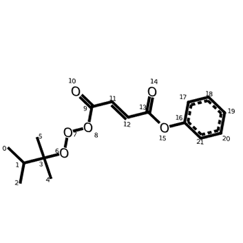 CC(C)C(C)(C)OOOC(=O)C=CC(=O)Oc1ccccc1